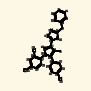 Cc1c(-c2nnc(Cc3ccccn3)s2)nn(-c2ccc(Cl)cc2Cl)c1-c1ccc(Cl)cc1